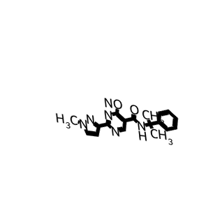 Cn1ccc(-c2ncc(C(=O)NC(C)(C)c3ccccc3)c(N=O)n2)n1